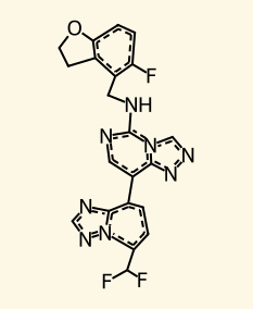 Fc1ccc2c(c1CNc1ncc(-c3ccc(C(F)F)n4ncnc34)c3nncn13)CCO2